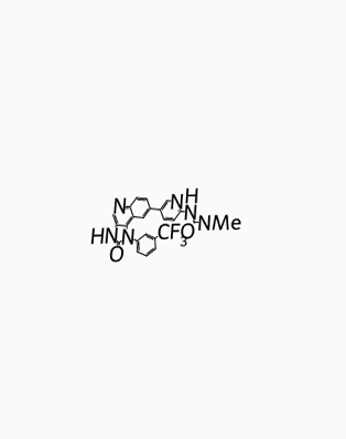 CNC(=O)Nc1ccc(-c2ccc3ncc4[nH]c(=O)n(-c5cccc(C(F)(F)F)c5)c4c3c2)cn1